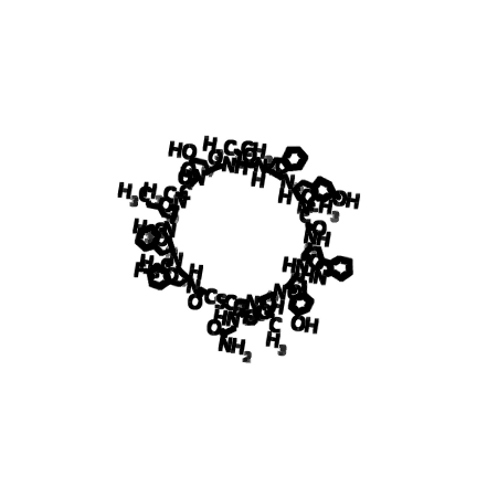 CCCC[C@H]1C(=O)N(C)CC(=O)N[C@@H](CC(=O)O)C(=O)N[C@@H](C(C)C)C(=O)N[C@@H](Cc2ccccc2)C(=O)N[C@@H](Cc2ccc(O)cc2)C(=O)N(C)CC(=O)N[C@@H](Cc2c[nH]c3ccccc23)C(=O)N[C@@H](Cc2ccc(O)cc2)C(=O)N[C@@H](CC(C)C)C(=O)N[C@H](C(=O)NCC(N)=O)CSCC(=O)N[C@@H](Cc2ccc(F)cc2)C(=O)N(C)[C@@H](Cc2ccccc2)C(=O)N1C